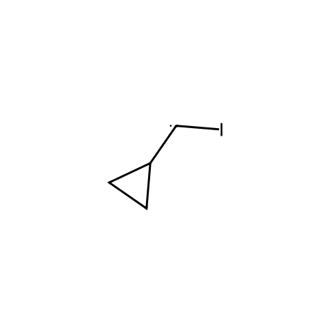 I[CH]C1CC1